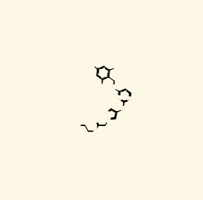 C[C@H](CO)NC(=O)Cn1cc(Nc2nccc(NCc3c(F)cc(F)cc3F)n2)cn1